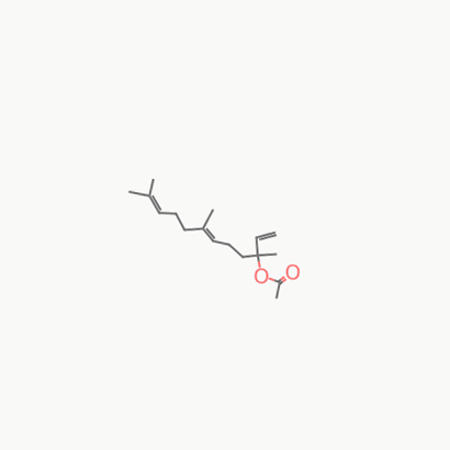 C=CC(C)(CC/C=C(\C)CCC=C(C)C)OC(C)=O